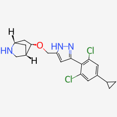 Clc1cc(C2CC2)cc(Cl)c1-c1cc(CO[C@@H]2C[C@@H]3C[C@H]2CN3)[nH]n1